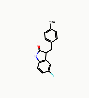 CC(C)(C)c1ccc(CC2C(=O)Nc3ccc(F)cc32)cc1